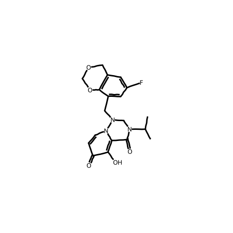 CC(C)N1CN(Cc2cc(F)cc3c2OCOC3)n2ccc(=O)c(O)c2C1=O